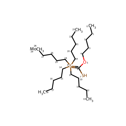 CCCCCOC(S)=S(CCCCC)(CCCCC)(CCCCC)CCCCC.[Mo]